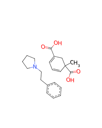 CC1(C(=O)O)C=CC=C(C(=O)O)C1.c1ccc(CCN2CCCC2)cc1